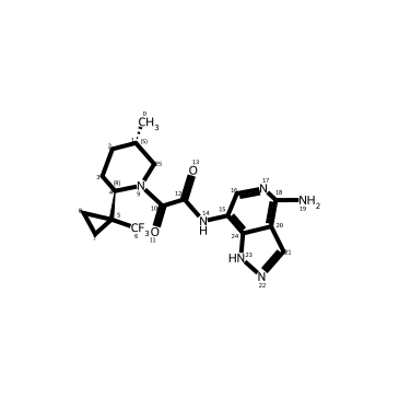 C[C@H]1CC[C@H](C2(C(F)(F)F)CC2)N(C(=O)C(=O)Nc2cnc(N)c3cn[nH]c23)C1